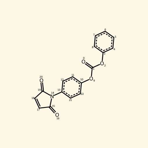 O=C(Oc1ccccc1)Oc1ccc(N2C(=O)C=CC2=O)cc1